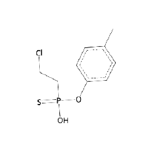 Cc1ccc(OP(O)(=S)CCCl)cc1